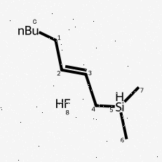 CCCCCC=CC[SiH](C)C.F